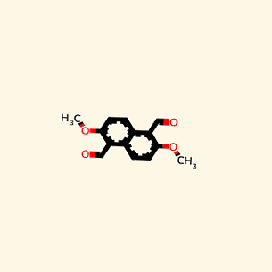 COc1ccc2c(C=O)c(OC)ccc2c1C=O